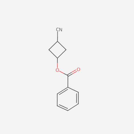 N#CC1CC(OC(=O)c2ccccc2)C1